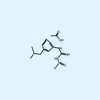 CC(=O)O.CN(C)Cc1cccc(NC(=N)N[N+](=O)[O-])c1